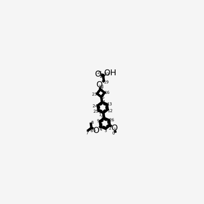 COc1cc(OC(C)C)cc(-c2ccc(C3CC(OCC(=O)O)C3)cc2)c1